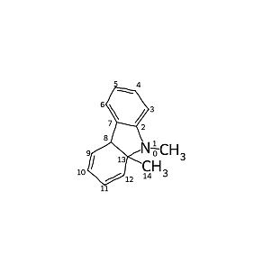 CN1c2ccccc2C2C=CC=CC21C